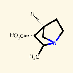 CC1[C@H](C(=O)O)[C@H]2CCN1C2